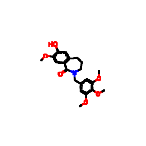 COc1cc2c(cc1O)CCCN(Cc1cc(OC)c(OC)c(OC)c1)C2=O